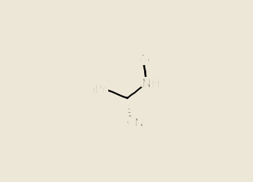 CC(=O)N[C@H](C#N)C(C)C